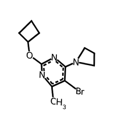 Cc1nc(OC2CCC2)nc(N2CCC2)c1Br